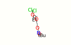 CCc1cc(OCC=C(Cl)Cl)cc(C)c1OCCCCCCOCC/C=N/OC(C)(C)C